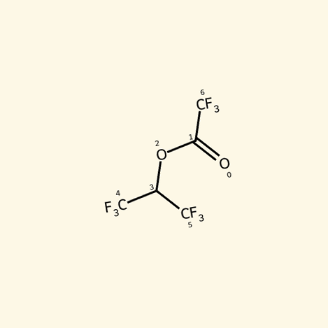 O=C(OC(C(F)(F)F)C(F)(F)F)C(F)(F)F